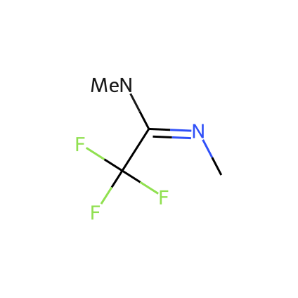 CN=C(NC)C(F)(F)F